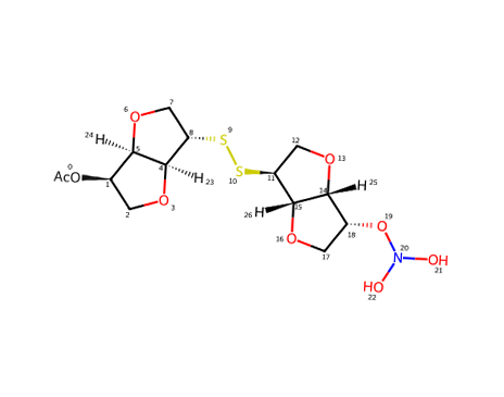 CC(=O)O[C@@H]1CO[C@H]2[C@@H]1OC[C@@H]2SS[C@H]1CO[C@H]2[C@@H]1OC[C@H]2ON(O)O